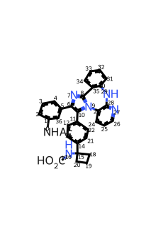 CC(=O)Nc1cccc(-c2nc3n(c2-c2ccc(C4(NC(=O)O)CCC4)cc2)-c2cccnc2Nc2ccccc2-3)c1